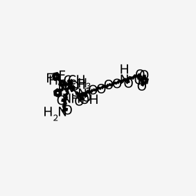 CC(C)(C)[C@H](c1cc(-c2cc(F)ccc2F)cn1Cc1ccccc1)N(CCCNC(=O)CCC(N)=O)C(=O)CSC[C@H](NC(=O)CCOCCOCCOCCOCCNC(=O)CCCC(=O)ON1C(=O)CCC1=O)C(=O)O